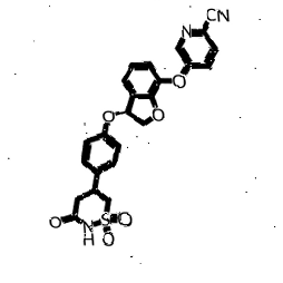 N#Cc1ccc(Oc2cccc3c2OC[C@H]3Oc2ccc(C3CC(=O)NS(=O)(=O)C3)cc2)cn1